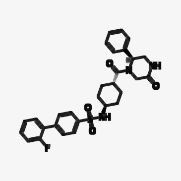 O=C1CN(C(=O)[C@H]2CC[C@H](NS(=O)(=O)c3ccc(-c4ccccc4F)cc3)CC2)[C@@H](c2ccccc2)CN1